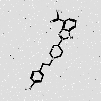 NC(=O)c1cccc2[nH]c(C3CCN(CCc4ccc([N+](=O)[O-])cc4)CC3)nc12